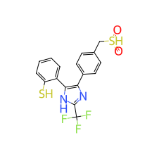 O=[SH](=O)Cc1ccc(-c2nc(C(F)(F)F)[nH]c2-c2ccccc2S)cc1